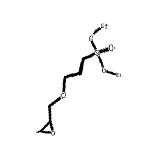 CCO[Si]([O])(CCCOCC1CO1)OCC